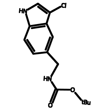 CC(C)(C)OC(=O)NCc1ccc2[nH]cc(Cl)c2c1